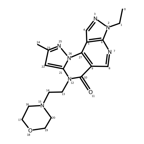 CCn1ncc2c1ncc1c(=O)n(CCN3CCOCC3)c3cc(C)nn3c12